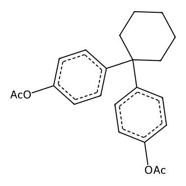 CC(=O)Oc1ccc(C2(c3ccc(OC(C)=O)cc3)CCCCC2)cc1